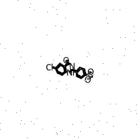 CS(=O)(=O)c1ccc(-c2nc(=O)c3cc(Cl)ccc3[nH]2)cc1